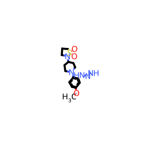 COc1ccc(N2CCC(N3CCCS3(=O)=O)CC2)c(NN=N)c1